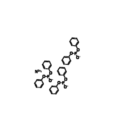 [N+3].[O-]P(Oc1ccccc1)Oc1ccccc1.[O-]P(Oc1ccccc1)Oc1ccccc1.[O-]P(Oc1ccccc1)Oc1ccccc1